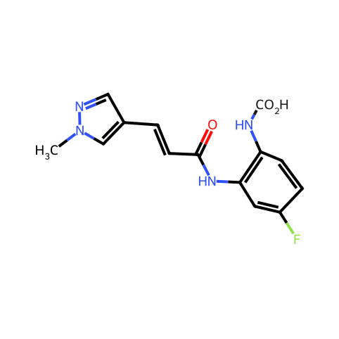 Cn1cc(C=CC(=O)Nc2cc(F)ccc2NC(=O)O)cn1